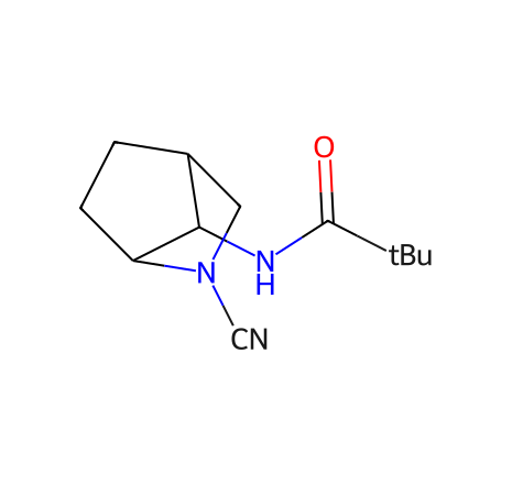 CC(C)(C)C(=O)NC1C2CCC1N(C#N)C2